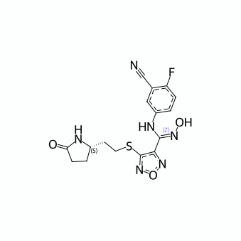 N#Cc1cc(N/C(=N\O)c2nonc2SCC[C@@H]2CCC(=O)N2)ccc1F